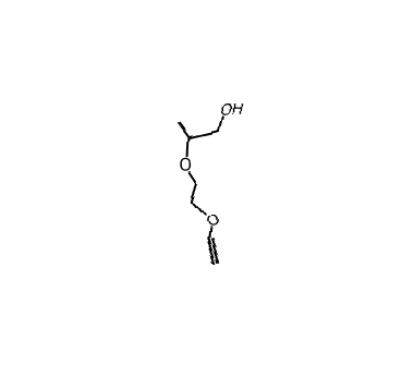 C=COCCOC(C)CO